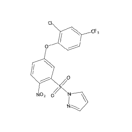 O=[N+]([O-])c1ccc(Oc2ccc(C(F)(F)F)cc2Cl)cc1S(=O)(=O)n1cccn1